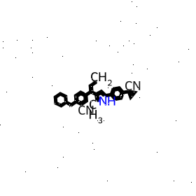 C=C/C=C(/c1ccc(CC2CCCCC2)c(C#N)c1)c1cc(-c2ccc(C3(C#N)CC3)cc2)[nH]c1C